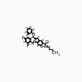 CCCCNC(=O)c1ccc2c(c1)cc(COc1ccccc1)n2Cc1cc(F)c(F)cc1F